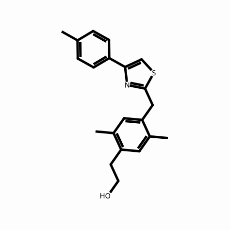 Cc1ccc(-c2csc(Cc3cc(C)c(CCO)cc3C)n2)cc1